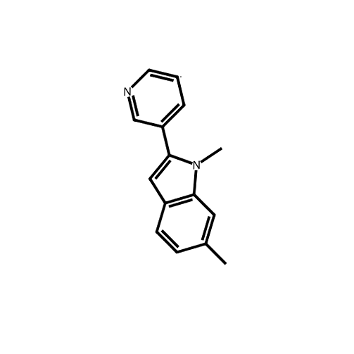 Cc1ccc2cc(-c3c[c]cnc3)n(C)c2c1